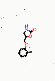 Cc1ccccc1OCC1CNC(=O)O1